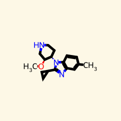 CO[C@H]1CNCC[C@@H]1n1c(C2CC2)nc2cc(C)ccc21